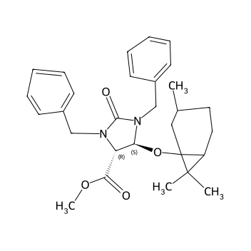 COC(=O)[C@H]1[C@H](OC23CC(C)CCC2C3(C)C)N(Cc2ccccc2)C(=O)N1Cc1ccccc1